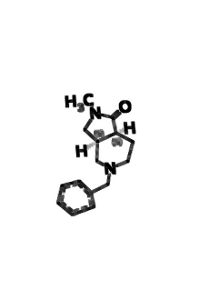 CN1C[C@@H]2CN(Cc3ccccc3)CC[C@@H]2C1=O